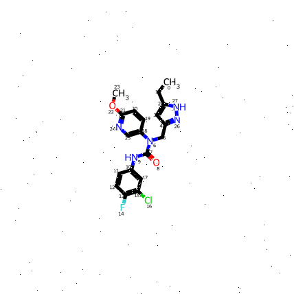 CCc1cc(CN(C(=O)Nc2ccc(F)c(Cl)c2)c2ccc(OC)nc2)n[nH]1